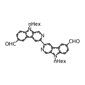 CCCCCCn1c2ccc(C=O)cc2c2cc(-c3cc4c5cc(C=O)ccc5n(CCCCCC)c4cn3)ncc21